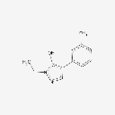 CCn1ncc(-c2cccc(C)c2)c1O